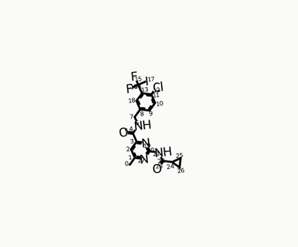 Cc1cc(C(=O)NCc2ccc(Cl)c(C(F)(F)I)c2)nc(NC(=O)C2CC2)n1